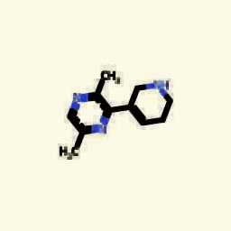 Cc1cnc(C)c(C2=CCCNC2)n1